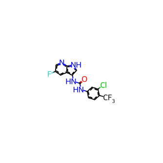 O=C(Nc1ccc(C(F)(F)F)c(Cl)c1)Nc1c[nH]c2ncc(F)cc12